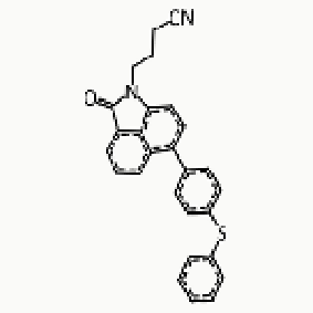 N#CCCCN1C(=O)c2cccc3c(-c4ccc(Sc5ccccc5)cc4)ccc1c23